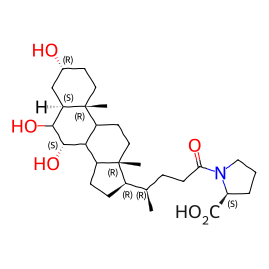 C[C@H](CCC(=O)N1CCC[C@H]1C(=O)O)[C@H]1CCC2C3C(CC[C@@]21C)[C@@]1(C)CC[C@@H](O)C[C@@H]1C(O)[C@H]3O